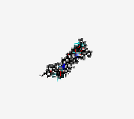 C=Cc1ccc(CC2(c3c(F)c(F)c(F)c(F)c3F)c3ccccc3-c3ccc(N(c4ccc5c(c4)C4(c6ccccc6-5)c5cc(N(c6ccc7c(c6)C(Cc6ccc(C=C)cc6)(c6c(F)c(F)c(F)c(F)c6F)c6ccccc6-7)c6cccc7ccccc67)ccc5C5C=CC=CC54)c4cccc5ccccc45)cc32)cc1